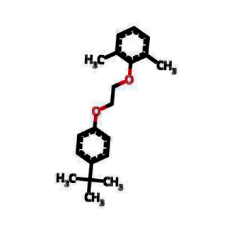 Cc1cccc(C)c1OCCOc1ccc(C(C)(C)C)cc1